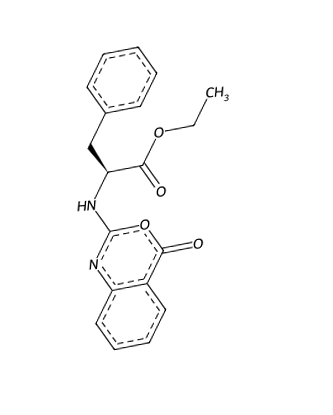 CCOC(=O)[C@H](Cc1ccccc1)Nc1nc2ccccc2c(=O)o1